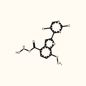 COc1ccc(C(=O)OBO)c2cc(-c3nc(Cl)ncc3Cl)sc12